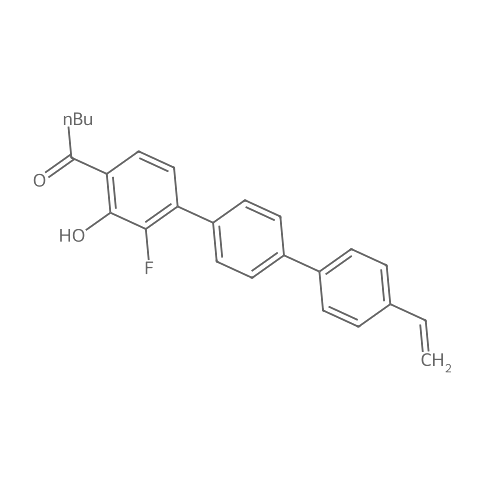 C=Cc1ccc(-c2ccc(-c3ccc(C(=O)CCCC)c(O)c3F)cc2)cc1